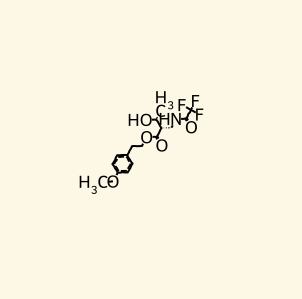 COc1ccc(CCOC(=O)[C@@H](CNC(=O)C(F)(F)F)[C@@H](C)O)cc1